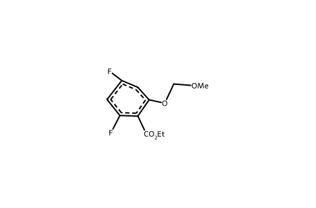 CCOC(=O)c1c(F)cc(F)cc1OCOC